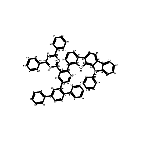 c1ccc(-c2ccc(-c3ccccc3)c(-c3cnc(-c4cccc5c4oc4c5ccc5c6ccccc6n(-c6ccccc6)c54)c(-c4nc(-c5ccccc5)nc(-c5ccccc5)n4)c3)c2)cc1